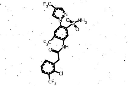 NS(=O)(=O)c1cc(NC(=O)Cc2cccc(C(F)(F)F)c2Cl)c(C(F)(F)F)cc1-n1cc(C(F)(F)F)cn1